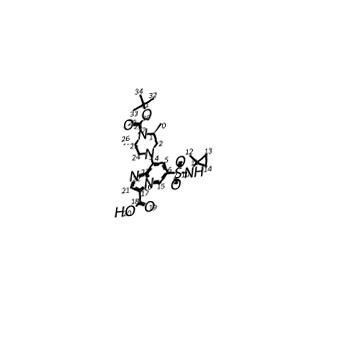 C[C@H]1CN(c2cc(S(=O)(=O)NC3(C)CC3)cn3c(C(=O)O)cnc23)C[C@H](C)N1C(=O)OC(C)(C)C